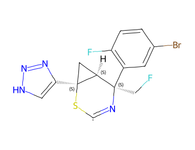 FC[C@]1(c2cc(Br)ccc2F)N=[C]S[C@@]2(c3c[nH]nn3)C[C@@H]12